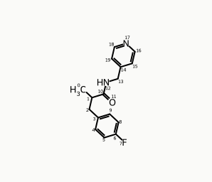 CC(Cc1ccc(F)cc1)C(=O)NCc1ccncc1